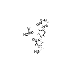 NC[C@H]1CN(c2ccc(N3CCOCC3=O)cc2)C(=O)O1.O=[N+]([O-])O